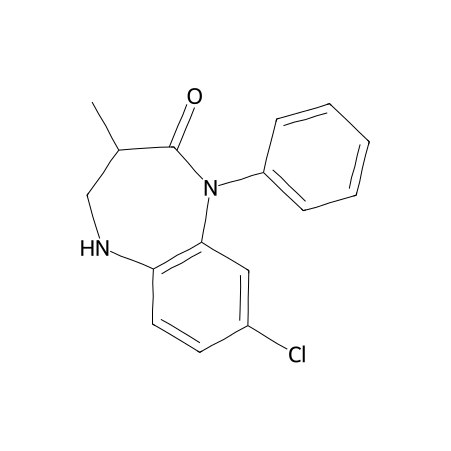 CC1CNc2ccc(Cl)cc2N(c2ccccc2)C1=O